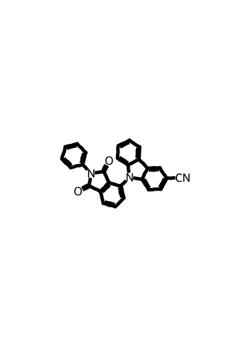 N#Cc1ccc2c(c1)c1ccccc1n2-c1cccc2c1C(=O)N(c1ccccc1)C2=O